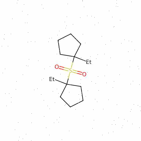 CCC1(S(=O)(=O)C2(CC)CCCC2)CCCC1